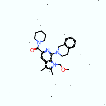 COCn1c(C)c(C)c2cc(C(=O)N3CCCCC3)nc(N3CCc4ccccc4C3)c21